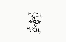 CC(C)CCOc1cc(Br)c(OCCC(C)C)cc1Br